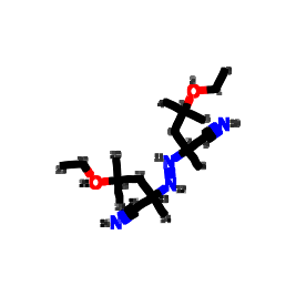 CCOC(C)(C)CC(C)(C#N)N=NC(C)(C#N)CC(C)(C)OCC